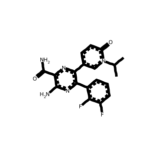 CC(C)n1cc(-c2nc(C(N)=O)c(N)nc2-c2cccc(F)c2F)ccc1=O